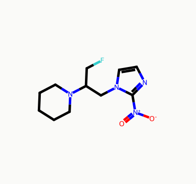 O=[N+]([O-])c1nccn1CC(CF)N1CCCCC1